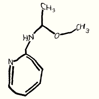 COC(C)Nc1ccccn1